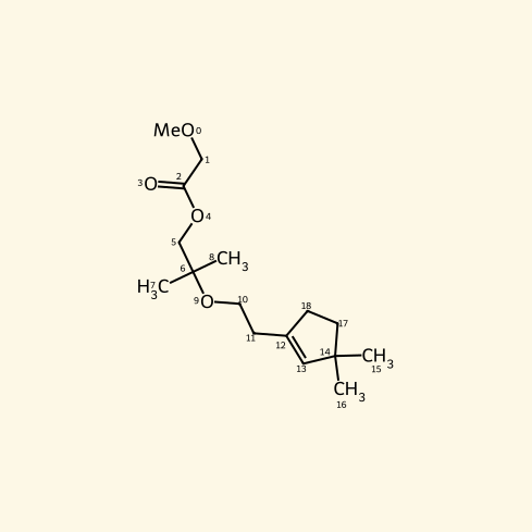 COCC(=O)OCC(C)(C)OCCC1=CC(C)(C)CC1